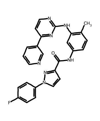 Cc1ccc(NC(=O)c2ccn(-c3ccc(F)cc3)n2)cc1Nc1nccc(-c2cccnc2)n1